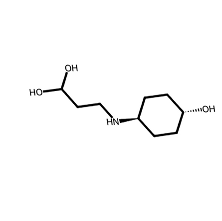 OC(O)CCN[C@H]1CC[C@H](O)CC1